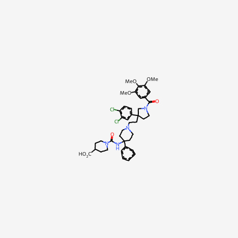 COc1cc(C(=O)N2CCC(CCN3CCC(NC(=O)N4CCC(C(=O)O)CC4)(c4ccccc4)CC3)(c3ccc(Cl)c(Cl)c3)C2)cc(OC)c1OC